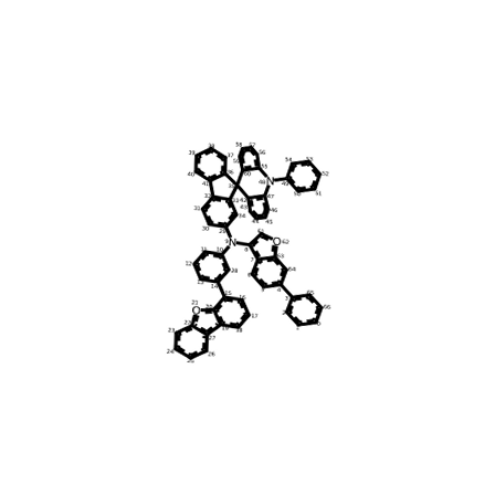 c1ccc(-c2ccc3c(N(c4cccc(-c5cccc6c5oc5ccccc56)c4)c4ccc5c(c4)C4(c6ccccc6-5)c5ccccc5N(c5ccccc5)c5ccccc54)coc3c2)cc1